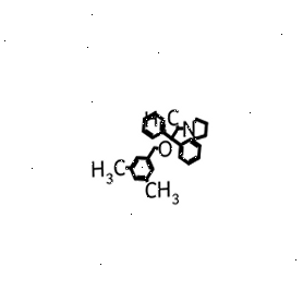 Cc1cc(C)cc(COC(c2ccccc2)(c2ccccc2)C(C)N2CCCC2)c1